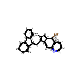 CC1=C(CC2c3ccccc3-c3ccccc32)C2=Cc3ncccc3C(Br)C2=C1